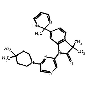 CC1(O)CCN(c2cncc(N3C(=O)C(C)(C)c4ccc(C5(C)N=CC=CN5)cc43)n2)CC1